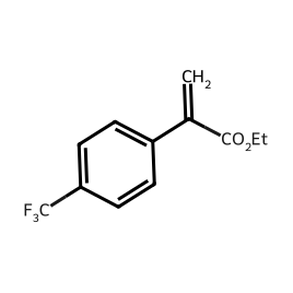 C=C(C(=O)OCC)c1ccc(C(F)(F)F)cc1